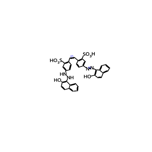 O=S(=O)(O)c1cc(/N=N/c2c(O)ccc3ccccc23)ccc1/C=C\c1ccc(NNc2c(O)ccc3ccccc23)cc1S(=O)(=O)O